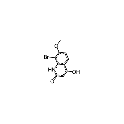 COc1ccc2c(O)cc(=O)[nH]c2c1Br